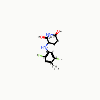 Cc1cc(F)c(NC2CCC(=O)NC2=O)cc1F